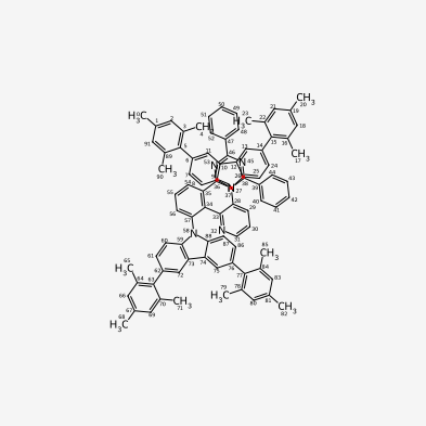 Cc1cc(C)c(-c2ccc3c(c2)c2cc(-c4c(C)cc(C)cc4C)ccc2n3-c2cccnc2-c2c(-c3nc(-c4ccccc4)nc(-c4ccccc4)n3)cccc2-n2c3ccc(-c4c(C)cc(C)cc4C)cc3c3cc(-c4c(C)cc(C)cc4C)ccc32)c(C)c1